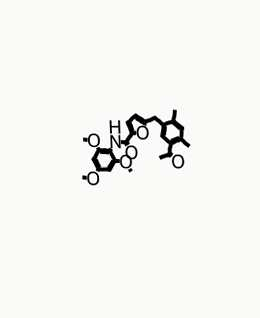 COc1cc(OC)c(NC(=O)c2ccc(Cc3cc(C(C)=O)c(C)cc3C)o2)c(OC)c1